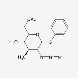 CC(=O)OCC1OC(Sc2ccccc2)C(N=[N+]=[N-])[C@@H](C)[C@@H]1C